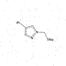 CSCn1cc(C(C)C)cn1